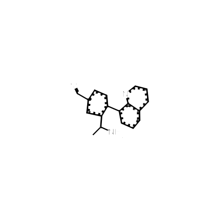 CC(N)c1cc(C=O)ccc1-c1cccc2cccnc12